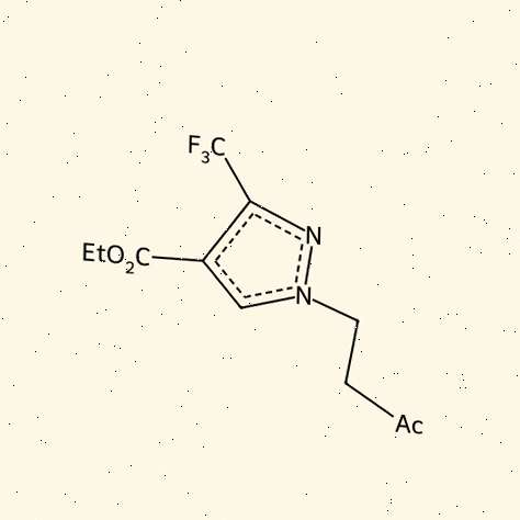 CCOC(=O)c1cn(CCC(C)=O)nc1C(F)(F)F